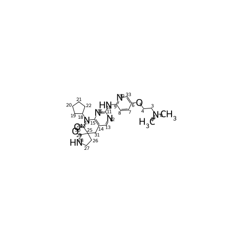 CN(C)CCOc1ccc(Nc2ncc3c(n2)N(C2CCCC2)C(=O)C2(CCNC2=O)C3)nc1